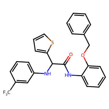 O=C(Nc1ccccc1OCc1ccccc1)C(Nc1cccc(C(F)(F)F)c1)c1cccs1